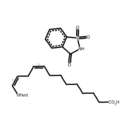 CCCCC/C=C\C/C=C\CCCCCCCC(=O)O.O=C1NS(=O)(=O)c2ccccc21